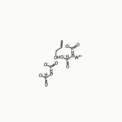 C=CCO.O=[PH]([O-])O[PH](=O)[O-].O=[PH]([O-])O[PH](=O)[O-].[W+4]